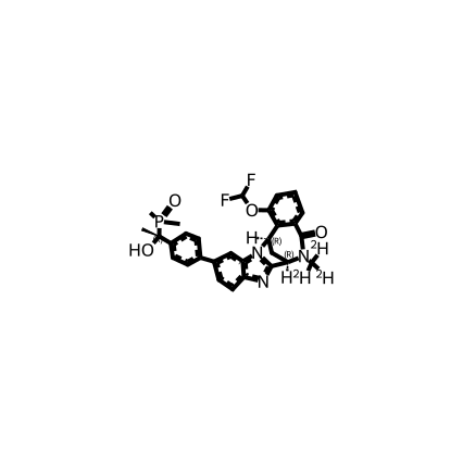 [2H]C([2H])([2H])N1C(=O)c2cccc(OC(F)F)c2[C@H]2C[C@@H]1c1nc3ccc(-c4ccc([C@](C)(O)P(C)(C)=O)cc4)cc3n12